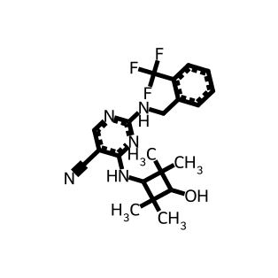 CC1(C)C(O)C(C)(C)C1Nc1nc(NCc2ccccc2C(F)(F)F)ncc1C#N